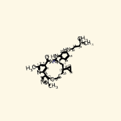 Cc1cc2cc(n1)-c1cnn(C)c1OCCCC(C1CC1)CN1/C(=N/C2=O)Nc2cc(NCCCN(C)C)ccc21